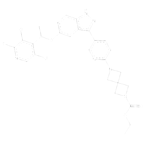 CCOC(=O)N1CC2(C1)CN(c1ccc(-c3n[nH]c4ccc(OC(C)c5c(Cl)cnc(F)c5Cl)cc34)cn1)C2